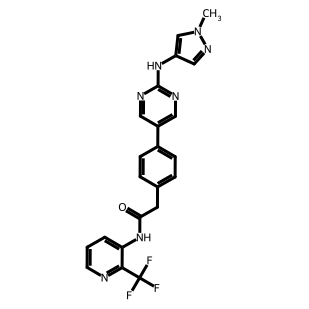 Cn1cc(Nc2ncc(-c3ccc(CC(=O)Nc4cccnc4C(F)(F)F)cc3)cn2)cn1